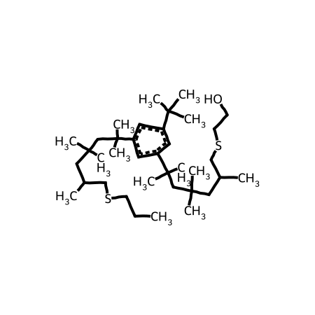 CCCSCC(C)CC(C)(C)CC(C)(C)c1cc(C(C)(C)C)cc(C(C)(C)CC(C)(C)CC(C)CSCCO)c1